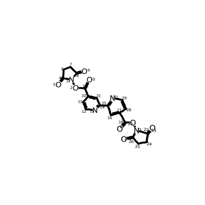 O=C(ON1C(=O)CCC1=O)c1ccnc(-c2cc(C(=O)ON3C(=O)CCC3=O)ccn2)c1